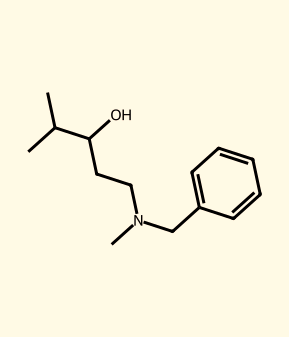 CC(C)C(O)CCN(C)Cc1ccccc1